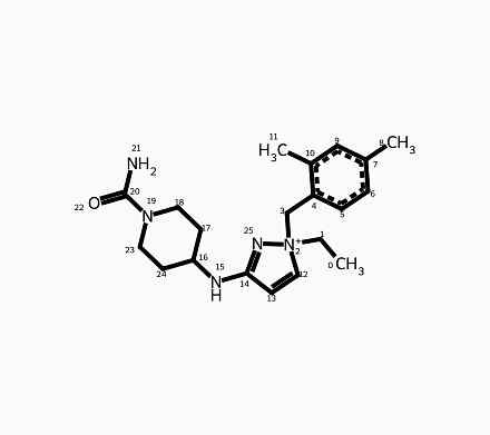 CC[N+]1(Cc2ccc(C)cc2C)C=CC(NC2CCN(C(N)=O)CC2)=N1